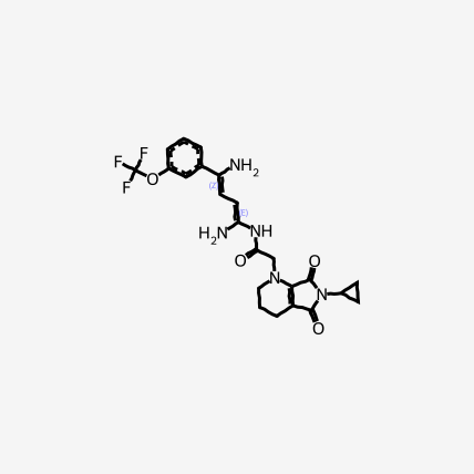 N/C(=C\C=C(/N)NC(=O)CN1CCCC2=C1C(=O)N(C1CC1)C2=O)c1cccc(OC(F)(F)F)c1